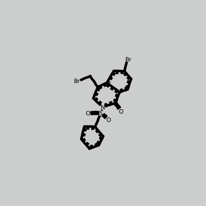 O=c1c2ccc(Br)cc2c(CBr)cn1S(=O)(=O)c1ccccc1